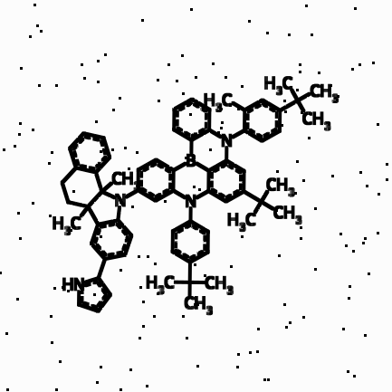 Cc1cc(C(C)(C)C)ccc1N1c2ccccc2B2c3ccc(N4c5ccc(-c6ccc[nH]6)cc5C5(C)CCc6ccccc6C45C)cc3N(c3ccc(C(C)(C)C)cc3)c3cc(C(C)(C)C)cc1c32